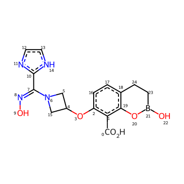 O=C(O)c1c(OC2CN(/C(=N\O)c3ncc[nH]3)C2)ccc2c1OB(O)CC2